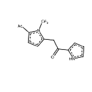 CC(=O)c1ccc(CC(=O)c2ccc[nH]2)n1C